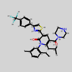 CCc1ccc(C)cc1-n1c(CC(C)C)c(C(=O)N2CCNCC2)cc(-c2nc(-c3ccc(C(F)(F)F)cc3)cs2)c1=O